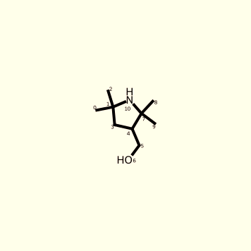 CC1(C)CC(CO)C(C)(C)N1